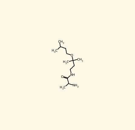 CC(C)CCOC(C)(C)CCNC(=O)C(C)N